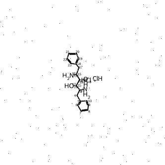 Cl.Cl.N[C@@H](Cc1ccccc1)[C@H](O)[C@@H](O)[C@@H](N)Cc1ccccc1